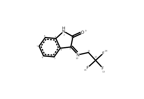 O=C1Nc2ccccc2C1=NCC(F)(F)F